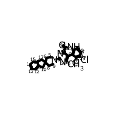 Cc1nc(N2CCC3(CC2)Cc2ccccc2C3)nc(C(N)=O)c1-c1cccc(Cl)c1Cl